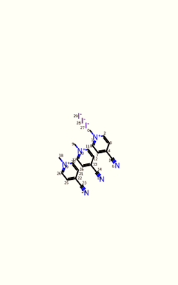 C[n+]1ccc(C#N)cc1.C[n+]1ccc(C#N)cc1.C[n+]1ccc(C#N)cc1.[I-].[I-].[I-]